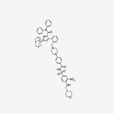 O=C(NS(=O)(=O)c1ccc(NCC2CCOCC2)c([N+](=O)[O-])c1)c1ccc(N2CCN(Cc3ccccc3-c3cn(C45CC6CC(CC(C6)C4)C5)nc3C(=O)N(c3ccccc3)c3ccccc3)CC2)cc1